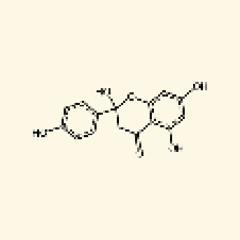 O=C1CC(O)(c2ccc(O)cc2)Oc2cc(O)cc(O)c21